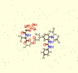 CCCC(OC(=O)CC(CC)c1ccc(N(CC(C)C)CC(C)C)c(NC(=O)Nc2ccc(C)cc2)c1)OC(=O)[C@@H](NC(=O)[C@H](C)OP(=O)(O)O)C(C)C